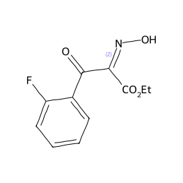 CCOC(=O)/C(=N\O)C(=O)c1ccccc1F